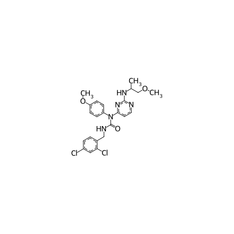 COCC(C)Nc1nccc(N(C(=O)NCc2ccc(Cl)cc2Cl)c2ccc(OC)cc2)n1